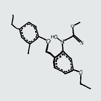 CCOc1ccc(COc2ccc(CC)cc2C)c(N(O)C(=S)OC)c1